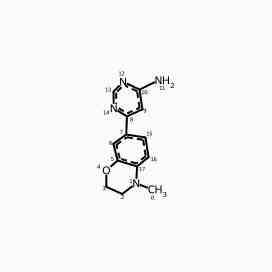 CN1CCOc2cc(-c3cc(N)ncn3)ccc21